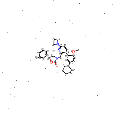 COc1ccc(C2CCCCC2)cc1-c1ccc(N2CCC2)nc1CN1C(=O)O[C@H](c2cccc(C)c2)[C@@H]1C